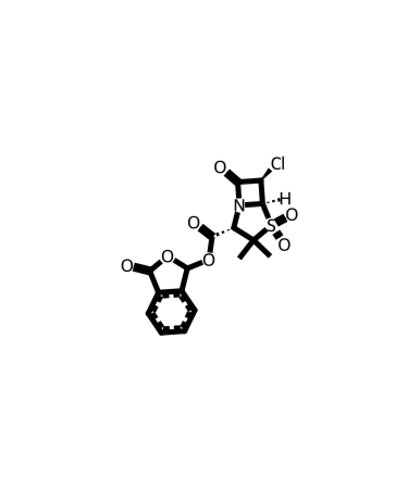 CC1(C)[C@H](C(=O)OC2OC(=O)c3ccccc32)N2C(=O)[C@@H](Cl)[C@H]2S1(=O)=O